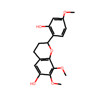 COc1ccc(C2CCc3cc(O)c(OC)c(OC)c3O2)c(O)c1